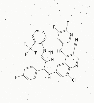 N#Cc1cnc2c(Cl)cc(NC(c3ccc(F)cc3)c3cn(-c4ccccc4C(F)(F)F)nn3)cc2c1Nc1cnc(F)c(F)c1